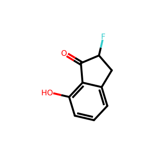 O=C1c2c(O)cccc2CC1F